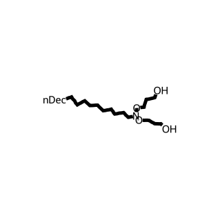 CCCCCCCCCCCCCCCCCCCCN(OCCCO)OCCCO